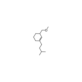 COCC1C=C(CCC(C)C)CCC1